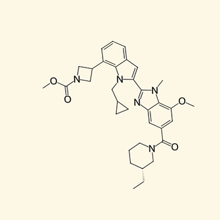 CC[C@@H]1CCCN(C(=O)c2cc(OC)c3c(c2)nc(-c2cc4cccc(C5CN(C(=O)OC)C5)c4n2CC2CC2)n3C)C1